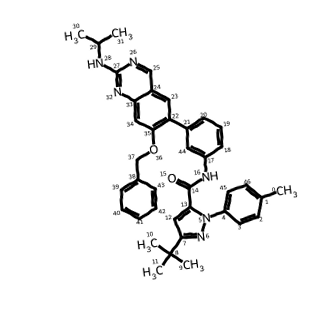 Cc1ccc(-n2nc(C(C)(C)C)cc2C(=O)Nc2cccc(-c3cc4cnc(NC(C)C)nc4cc3OCc3ccccc3)c2)cc1